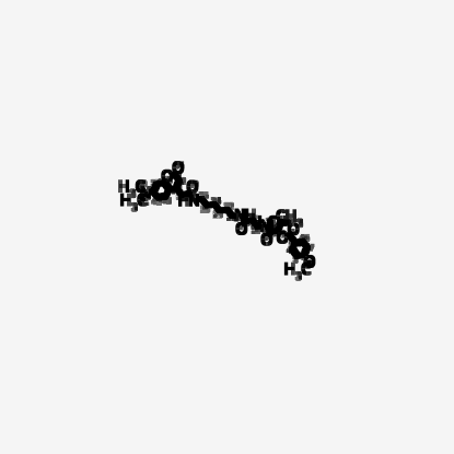 COc1ccc(C2OCC(C)(C)C(C(=O)NCCC(=O)NCCCCCCNC(=O)Cc3cc(=O)oc4cc(N(C)C)ccc34)O2)cc1